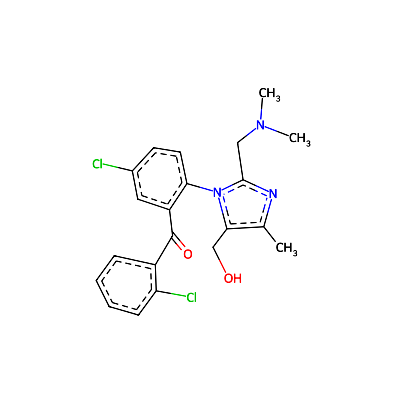 Cc1nc(CN(C)C)n(-c2ccc(Cl)cc2C(=O)c2ccccc2Cl)c1CO